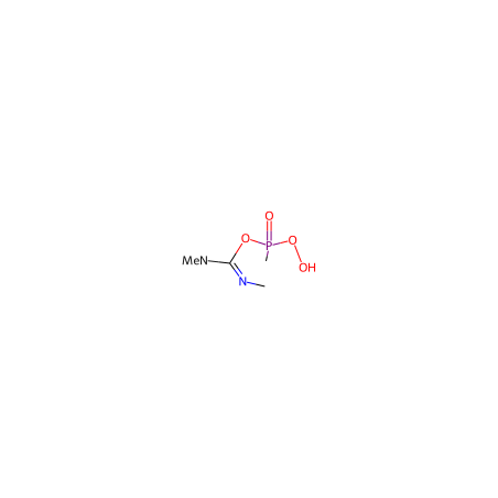 CN=C(NC)OP(C)(=O)OO